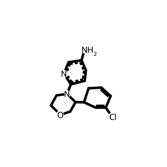 Nc1ccc(N2CCOCC2C2C=C(Cl)C=CC2)nc1